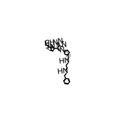 CSn1ccc(-c2cn([C@H]3CC[C@@H](CNCCCNCCc4ccccc4)C3)c3ncnc(N)c23)n1